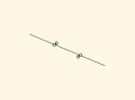 CCCCCCCCCCCCCCCCCCOC(=O)CCCCCCCCCCCCCCCCC(=O)OCCCCCCCCCCCCCCCCCC